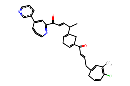 CC(/C=C/C(=O)C1=NC=C=CC(c2cccnc2)=C1)C1=CCC=C(C(=O)/C=C/CC2=CC(C(F)(F)F)=C(Cl)C=CC2)C1